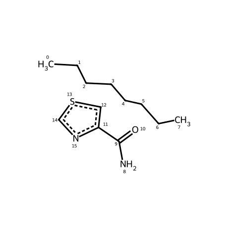 CCCCCCCC.NC(=O)c1cscn1